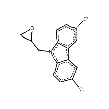 Clc1ccc2c(c1)c1cc(Cl)ccc1n2CC1CO1